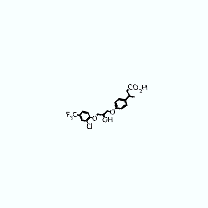 CC(CC(=O)O)c1ccc(OCC(O)COc2ccc(C(F)(F)F)cc2Cl)cc1